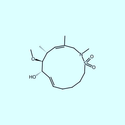 CO[C@H]1[C@H](C)/C=C(/C)CN(C)S(=O)(=O)CCCC/C=C/[C@@H]1O